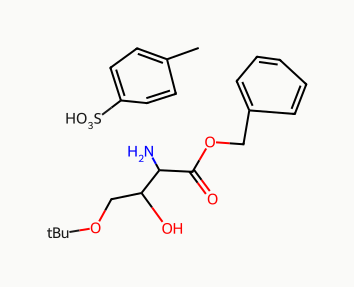 CC(C)(C)OCC(O)C(N)C(=O)OCc1ccccc1.Cc1ccc(S(=O)(=O)O)cc1